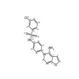 NC1=c2ccoc2=NCN1c1ccc(NS(=O)(=O)c2cccc(Cl)c2)cc1